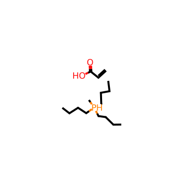 C=CC(=O)O.CCCC[PH](C)(CCCC)CCCC